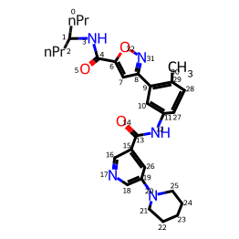 CCCC(CCC)NC(=O)c1cc(-c2cc(NC(=O)c3cncc(N4CCCCC4)c3)ccc2C)no1